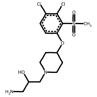 CS(=O)(=O)c1c(OC2CCN(CC(O)CN)CC2)ccc(Cl)c1Cl